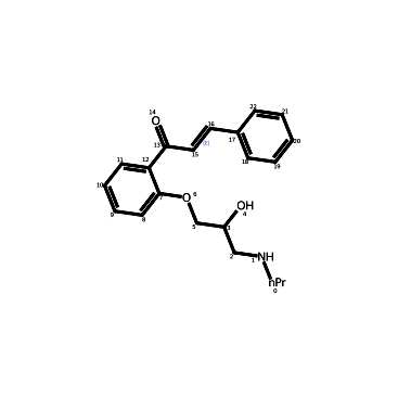 CCCNCC(O)COc1ccccc1C(=O)/C=C/c1ccccc1